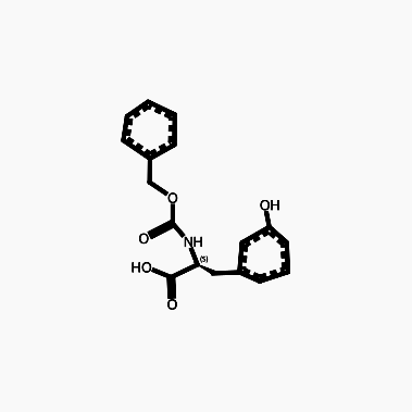 O=C(N[C@@H](Cc1cccc(O)c1)C(=O)O)OCc1ccccc1